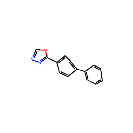 [c]1nnc(-c2ccc(-c3ccccc3)cc2)o1